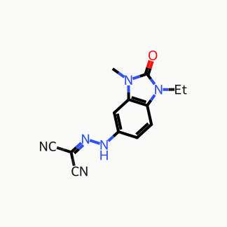 CCn1c(=O)n(C)c2cc(NN=C(C#N)C#N)ccc21